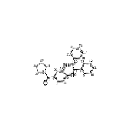 O=C(c1ccc2nc(-c3ccccc3)c(-c3ccccc3)nc2c1)N1CCCC1